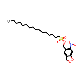 CCCCCCCCCCCCCCCCS(=O)(=O)OCc1cc2c(cc1[N+](=O)[O-])OOC2